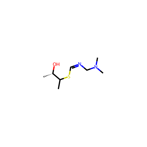 CC(S/C=N\CN(C)C)[C@H](C)O